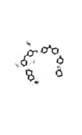 COc1cc2cc(Oc3ccc(C(=O)c4ccc(COc5ccc(C(=O)c6ccc(Oc7ccc(S(=O)(=O)c8ccc(C)cc8)cc7)cc6)cc5)c(SOOO)c4)cc3S(=O)(=O)O)c(SOOO)cc2cc1S(=O)(=O)O